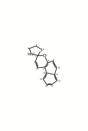 C1=CC2(NCCS2)Oc2ccc3ccccc3c21